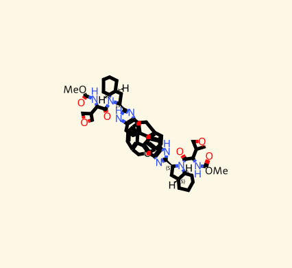 COC(=O)NC(C(=O)N1[C@H](c2nc3cc(-c4cc5ccc4CCc4ccc(c(-c6ccc7[nH]c([C@@H]8C[C@@H]9CCCC[C@@H]9N8C(=O)C(NC(=O)OC)C8COC8)nc7c6)c4)CC5)ccc3[nH]2)C[C@@H]2CCCC[C@@H]21)C1COC1